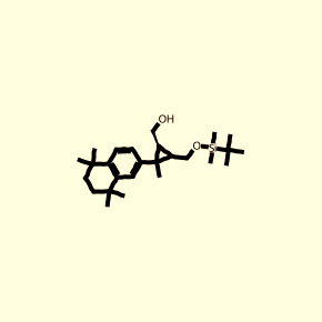 CC1(C)CCC(C)(C)c2cc(C3(C)C(CO[Si](C)(C)C(C)(C)C)[C@@H]3CO)ccc21